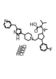 CC(C)[C@H](C(=O)O)N(C)C1CC(CN2CCC(c3cc(Cc4cccnc4)n[nH]3)CC2)C(c2cccc(F)c2)C1.Cl.Cl.Cl.Cl